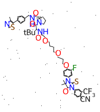 Cc1ncsc1-c1ccc(CNC(=O)[C@@H]2CCCN2C(=O)C(NC(=O)COCCCCOCCCOc2ccc(N3C(=S)N(c4ccc(C#N)c(C(F)(F)F)c4)C(=O)C3(C)C)cc2F)C(C)(C)C)cc1